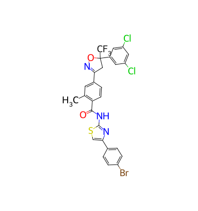 Cc1cc(C2=NOC(c3cc(Cl)cc(Cl)c3)(C(F)(F)F)C2)ccc1C(=O)Nc1nc(-c2ccc(Br)cc2)cs1